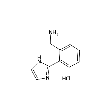 Cl.NCc1ccccc1-c1ncc[nH]1